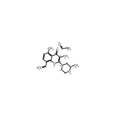 C=Cc1ccc(C)c2c(=O)c(C)c(N3CCO[C@H](C)C3)oc12.NC=O